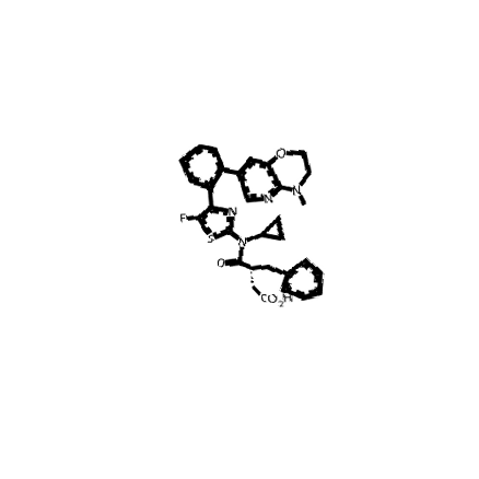 CN1CCOc2cc(-c3ccccc3-c3nc(N(C(=O)[C@@H](CC(=O)O)Cc4ccccc4)C4CC4)sc3F)cnc21